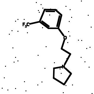 FC(F)(F)c1c[c]cc(OCCN2CCCC2)c1